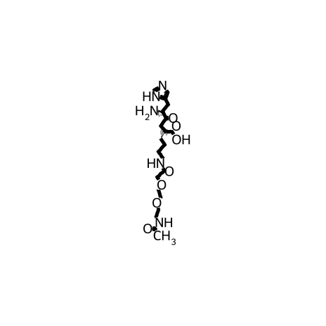 CC(=O)NCCOCCOCC(=O)NCCCC[C@H](CC(=O)[C@@H](N)Cc1cnc[nH]1)C(=O)O